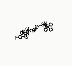 O=C(NCc1cccc(OCCCOc2ncn(C(c3ccccc3)(c3ccccc3)c3ccccc3)n2)c1)c1nc2scc(-c3ccc(F)cc3)c2c(=O)[nH]1